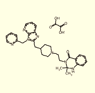 CC1(C)Nc2ccccc2C(=O)N1CCN1CCC(Cc2nc3cccnc3n2Cc2ccccn2)CC1.O=C(O)C(=O)O